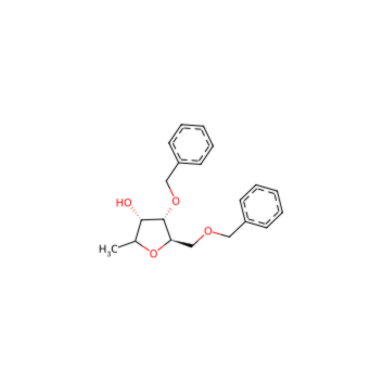 CC1O[C@H](COCc2ccccc2)[C@@H](OCc2ccccc2)[C@H]1O